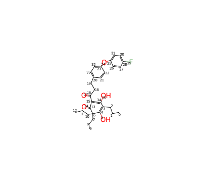 CCCC1=C(O)C(CCC)(CCC)C(=O)C(C(=O)CCc2ccc(Oc3ccc(F)cc3)cc2)=C1O